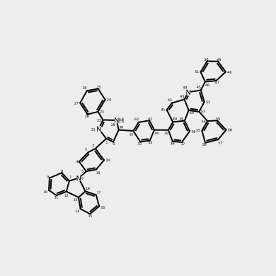 C1=C(c2ccc(-n3c4ccccc4c4ccccc43)cc2)N=C(c2ccccc2)NC1c1ccc(-c2cccc3c2ccc2nc(-c4ccccc4)cc(-c4ccccc4)c23)cc1